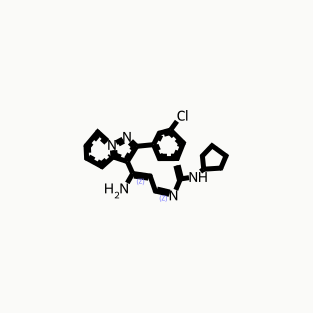 C=C(/N=C\C=C(/N)c1c(-c2cccc(Cl)c2)nn2ccccc12)NC1CCCC1